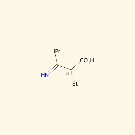 CC[C@H](C(=N)C(C)C)C(=O)O